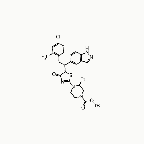 CCC1CN(C(=O)OC(C)(C)C)CCN1C1=NC(=O)C(=C(Cc2ccc(Cl)cc2C(F)(F)F)c2ccc3[nH]ncc3c2)S1